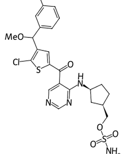 COC(c1cccc(Cl)c1)c1cc(C(=O)c2cncnc2N[C@H]2CC[C@@H](COS(N)(=O)=O)C2)sc1Cl